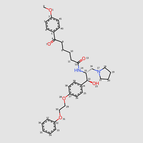 COc1ccc(C(=O)CCCCC(=O)N[C@H](CN2CCCC2)[C@@H](O)c2ccc(OCCOc3ccccc3)cc2)cc1